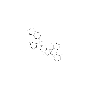 O=P(c1cccnc1)(c1ccc2ncncc2c1)c1ccc2nc3c4ccccc4c4ccccc4n3c2c1